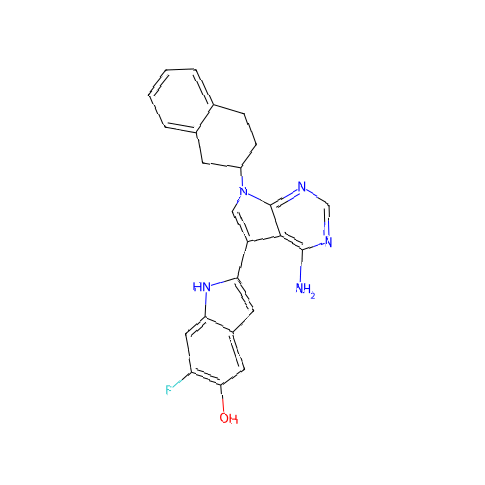 Nc1ncnc2c1c(-c1cc3cc(O)c(F)cc3[nH]1)cn2C1CCc2ccccc2C1